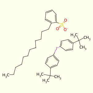 CC(C)(C)c1ccc([I+]c2ccc(C(C)(C)C)cc2)cc1.CCCCCCCCCCCCc1ccccc1S(=O)(=O)[O-]